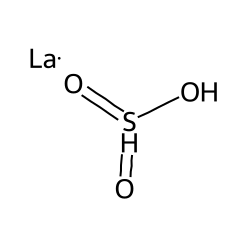 O=[SH](=O)O.[La]